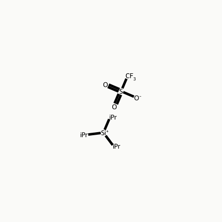 CC(C)[Si+](C(C)C)C(C)C.O=S(=O)([O-])C(F)(F)F